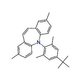 Cc1ccc2c(c1)C=Cc1cc(C)ccc1N2c1c(C)cc(C(C)(C)C)cc1C